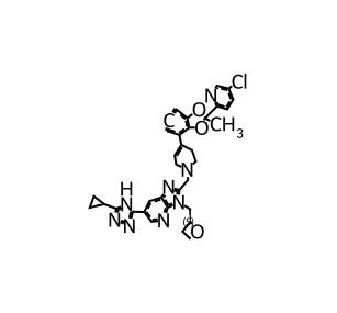 CC1(c2ccc(Cl)cn2)Oc2cccc(C3=CCN(Cc4nc5cc(-c6nnc(C7CC7)[nH]6)cnc5n4C[C@@H]4CCO4)CC3)c2O1